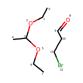 CCOC(C)OCC.O=CCCBr